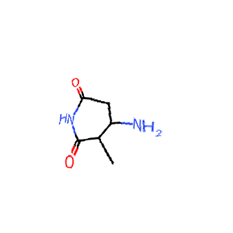 CC1C(=O)NC(=O)CC1N